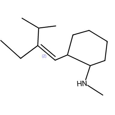 CC/C(=C/C1CCCCC1NC)C(C)C